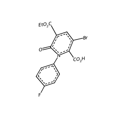 CCOC(=O)c1cc(Br)c(C(=O)O)n(-c2ccc(F)cc2)c1=O